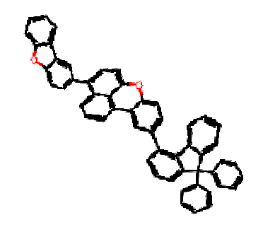 c1ccc(C2(c3ccccc3)c3ccccc3-c3c(-c4ccc5c(c4)-c4cccc6c(-c7ccc8oc9ccccc9c8c7)ccc(c46)O5)cccc32)cc1